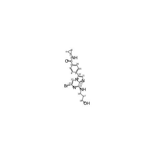 O=C(NC1CC1)c1ccc(-c2cnc3c(NCCCO)nc(Br)cn23)cc1